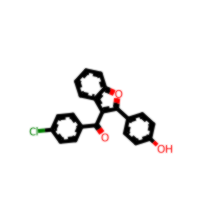 O=C(c1ccc(Cl)cc1)c1c(-c2ccc(O)cc2)oc2ccccc12